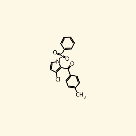 Cc1ccc(C(=O)c2c(Cl)ccn2S(=O)(=O)c2ccccc2)cc1